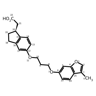 Cc1coc2cc(OCCCOc3ccc4c(c3)CC[C@H]4CC(=O)O)ccc12